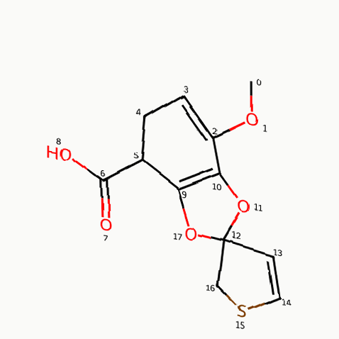 COC1=CCC(C(=O)O)C2=C1OC1(C=CSC1)O2